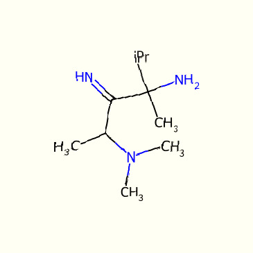 CC(C(=N)C(C)(N)C(C)C)N(C)C